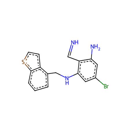 N=Cc1c(N)cc(Br)cc1NCc1cccc2sccc12